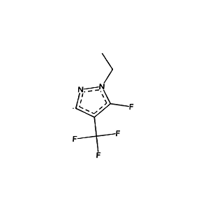 CCn1n[c]c(C(F)(F)F)c1F